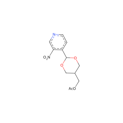 CC(=O)OCC1COC(c2ccncc2[N+](=O)[O-])OC1